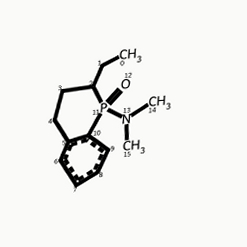 CCC1CCc2ccccc2P1(=O)N(C)C